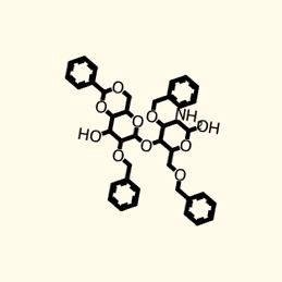 NC1C(O)OC(COCc2ccccc2)C(OC2OC3COC(c4ccccc4)OC3C(O)C2OCc2ccccc2)C1OCc1ccccc1